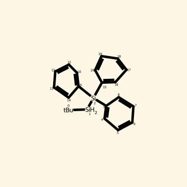 CC(C)(C)[SiH2][Si](c1ccccc1)(c1ccccc1)c1ccccc1